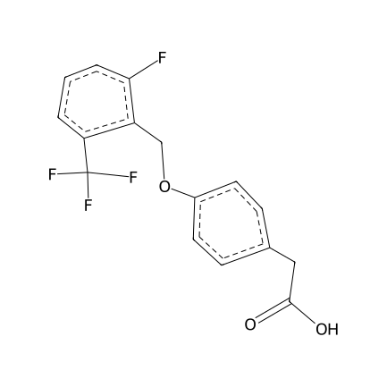 O=C(O)Cc1ccc(OCc2c(F)cccc2C(F)(F)F)cc1